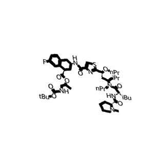 CCCO[C@H](CC(C(C)C)N(CCC)C(=O)[C@@H](NC(=O)[C@H]1CCCCN1C)[C@@H](C)CC)c1nc(C(=O)N[C@H]2Cc3ccc(F)cc3[C@H](C(=O)OC(C)CNC(=O)OC(C)(C)C)C2)cs1